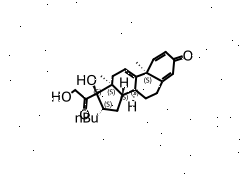 CCCC[C@H]1C[C@H]2[C@@H]3CCC4=CC(=O)C=C[C@]4(C)C3=CC[C@]2(C)[C@@]1(O)C(=O)CO